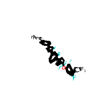 CCCCCc1ccc(-c2ccc(-c3ccc(-c4ccc(C(F)(F)Oc5cc(F)c(C(F)(F)F)c(F)c5)cc4)c(F)c3)c(F)c2)cc1